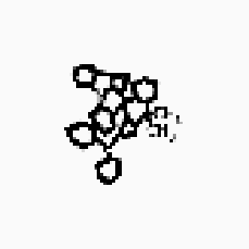 CC1(C)c2ccccc2C2(c3ccccc3-n3c4ccccc4c4cccc2c43)c2cc(P(c3ccccc3)c3ccccc3)ccc21